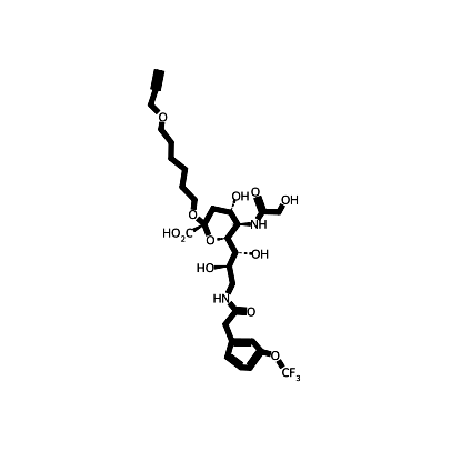 C#CCOCCCCCCO[C@]1(C(=O)O)C[C@H](O)[C@@H](NC(=O)CO)[C@H]([C@H](O)[C@H](O)CNC(=O)Cc2cccc(OC(F)(F)F)c2)O1